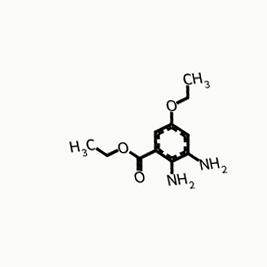 CCOC(=O)c1cc(OCC)cc(N)c1N